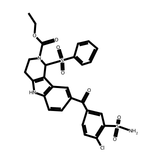 CCOC(=O)N1CCc2[nH]c3ccc(C(=O)c4ccc(Cl)c(S(N)(=O)=O)c4)cc3c2C1S(=O)(=O)c1ccccc1